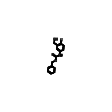 O=C(Nc1ccc(Cl)c(CO)c1)OCc1ccccc1